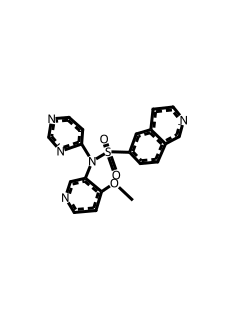 COc1ccncc1N(c1ccncn1)S(=O)(=O)c1ccc2cnccc2c1